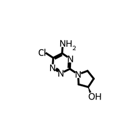 Nc1nc(N2CC[C@@H](O)C2)nnc1Cl